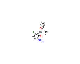 CC(C)(C)[Si](C)(C)O[C@@H]1CCC[C@@H](Oc2cc(F)ccc2N)C1